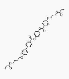 C=CC(=O)OCCCCOc1ccc(-c2ccc(C(=O)Oc3ccc(OC(=O)c4ccc(OCCCOC(=O)C=C)cc4)cc3)cc2)cc1